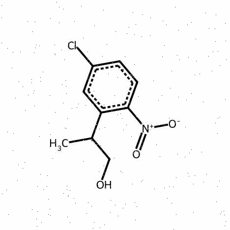 C[C](CO)c1cc(Cl)ccc1[N+](=O)[O-]